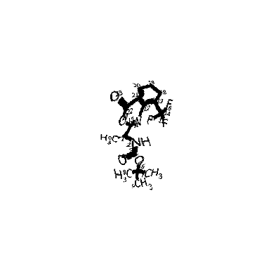 C[C@@H](NC(=O)OC(C)(C)C)c1nc2c(C(F)(F)F)cccc2c(=O)o1